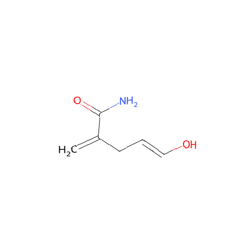 C=C(CC=CO)C(N)=O